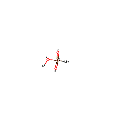 [Li][S](=O)(=O)OC